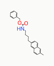 Cc1ccc2cc(CCCCNC(=O)OCc3ccccc3)ccc2c1